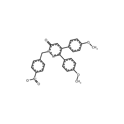 COc1ccc(-c2cc(=O)n(Cc3ccc([N+](=O)[O-])cc3)nc2-c2ccc(OC)cc2)cc1